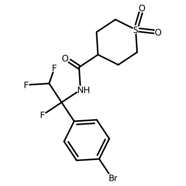 O=C(NC(F)(c1ccc(Br)cc1)C(F)F)C1CCS(=O)(=O)CC1